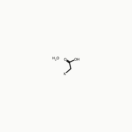 O.O=C(O)[CH2][K]